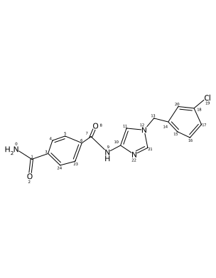 NC(=O)c1ccc(C(=O)Nc2cn(Cc3cccc(Cl)c3)cn2)cc1